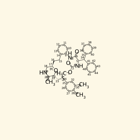 COC(=O)NC(C(=O)Nc1ccccc1CC[C@@H]1CN[C@H](C)[C@@H](CSc2ccc(C)c(C)c2)O1)C(c1ccccc1)c1ccccc1